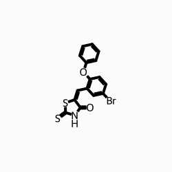 O=C1NC(=S)SC1=Cc1cc(Br)ccc1Oc1ccccc1